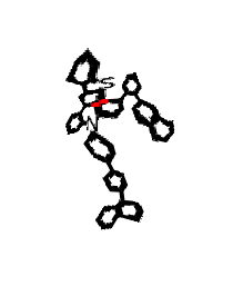 c1ccc(-c2ccc3ccccc3c2)c(-c2ccc(N(c3ccc(-c4ccc(-c5cccc6ccccc56)cc4)cc3)c3ccccc3-c3ccc4sc5ccccc5c4c3)cc2)c1